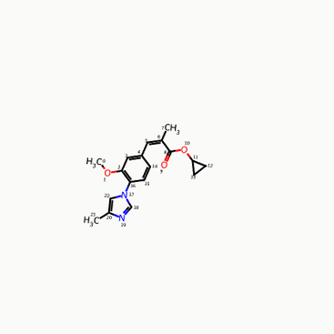 COc1cc(C=C(C)C(=O)OC2CC2)ccc1-n1cnc(C)c1